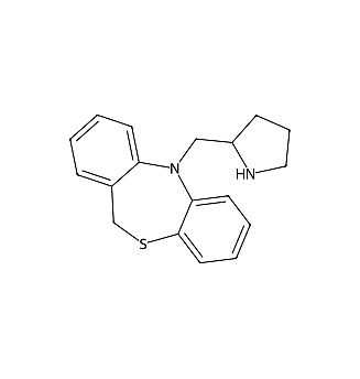 c1ccc2c(c1)CSc1ccccc1N2CC1CCCN1